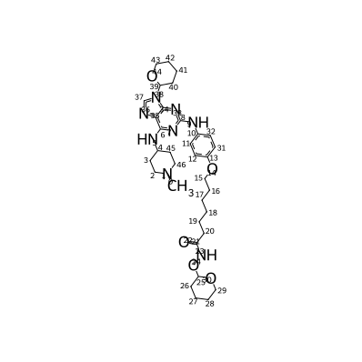 CN1CCC(Nc2nc(Nc3ccc(OCCCCCCC(=O)NOC4CCCCO4)cc3)nc3c2ncn3C2CCCCO2)CC1